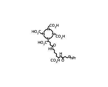 CCCOCCC(=O)N[C@H](CCCCNC(=O)CCC(C(=O)O)N1CCN(CC(=O)O)CCN(CC(=O)O)CCN(CC(=O)O)CC1)C(=O)O